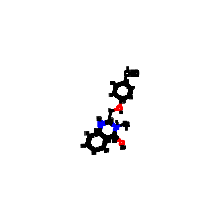 CCn1c(COc2ccc(C=O)cc2)nc2ccccc2c1=O